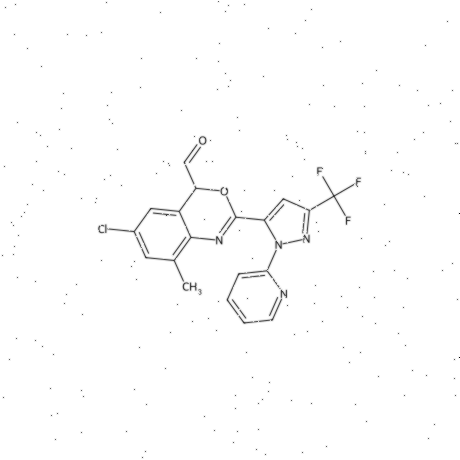 Cc1cc(Cl)cc2c1N=C(c1cc(C(F)(F)F)nn1-c1ccccn1)OC2C=O